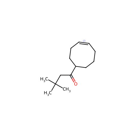 CC(C)(C)CC(=O)C1CC/C=C\CCC1